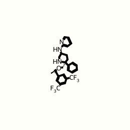 C[C@@H](OC[C@@]1(c2ccccc2)CCC(Nc2ccccn2)CN1)c1cc(C(F)(F)F)cc(C(F)(F)F)c1